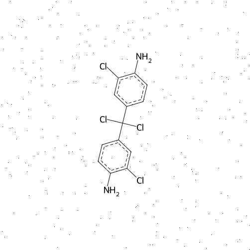 Nc1ccc(C(Cl)(Cl)c2ccc(N)c(Cl)c2)cc1Cl